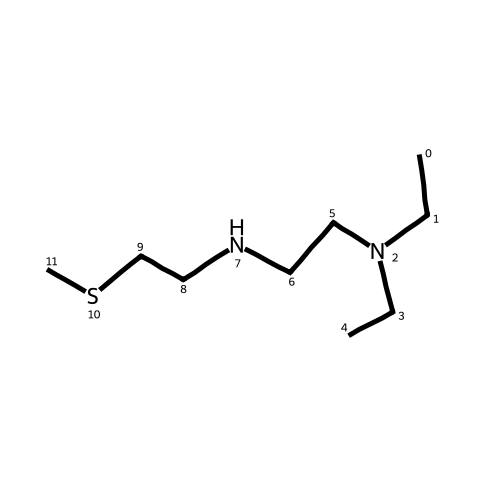 CCN(CC)CCNCCSC